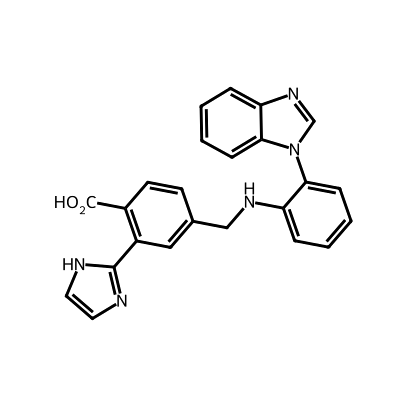 O=C(O)c1ccc(CNc2ccccc2-n2cnc3ccccc32)cc1-c1ncc[nH]1